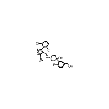 OCc1ccc(F)c([C@]2(O)CC[C@@H](OCc3c(-c4c(Cl)cccc4Cl)noc3C3CC3)CC2)c1